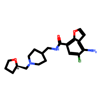 Nc1c(Cl)cc(C(=O)NCC2CCN(C[C@H]3CCCO3)CC2)c2occc12